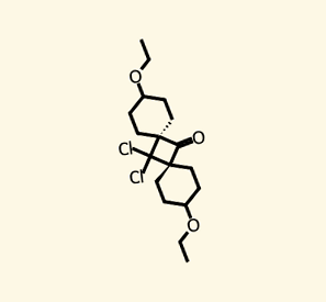 CCOC1CC[C@]2(CC1)C(=O)[C@@]1(CCC(OCC)CC1)C2(Cl)Cl